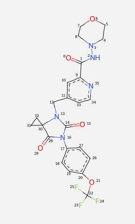 O=C(NN1CCOCC1)c1cc(CN2C(=O)N(c3ccc(OC(F)(F)F)cc3)C(=O)C23CC3)ccn1